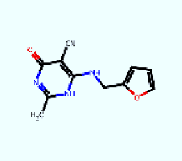 Cc1nc(=O)c(C#N)c(NCc2ccco2)[nH]1